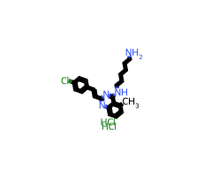 Cc1cccc2nc(C=Cc3ccc(Cl)cc3)nc(NCCCCCCN)c12.Cl.Cl